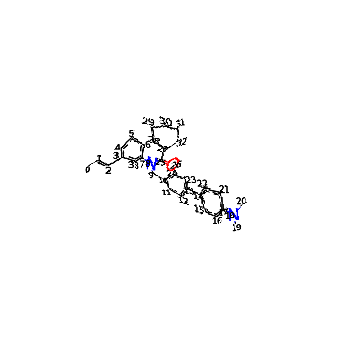 C/C=C/c1cccc(N(Cc2ccc(-c3ccc(N(C)C)cc3)cc2)C(=O)C2CCCCC2)c1